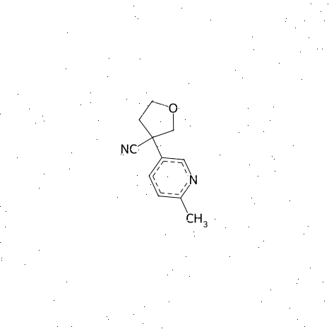 Cc1ccc(C2(C#N)CCOC2)cn1